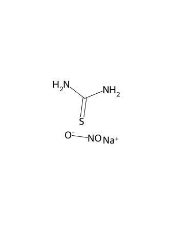 NC(N)=S.O=N[O-].[Na+]